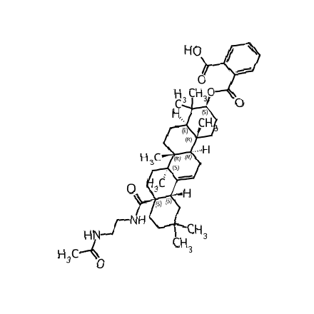 CC(=O)NCCNC(=O)[C@]12CCC(C)(C)C[C@H]1C1=CC[C@@H]3[C@@]4(C)CC[C@H](OC(=O)c5ccccc5C(=O)O)C(C)(C)[C@@H]4CC[C@@]3(C)[C@]1(C)CC2